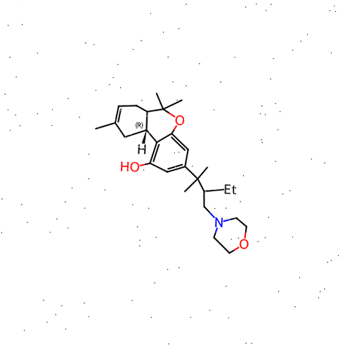 CCC(CN1CCOCC1)C(C)(C)c1cc(O)c2c(c1)OC(C)(C)C1CC=C(C)C[C@@H]21